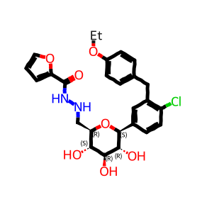 CCOc1ccc(Cc2cc([C@@H]3O[C@H](CNNC(=O)c4ccco4)[C@@H](O)[C@H](O)[C@H]3O)ccc2Cl)cc1